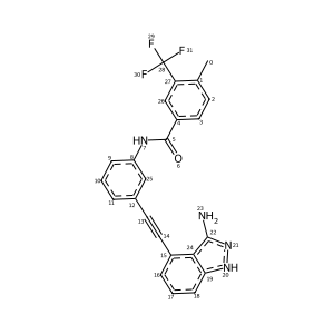 Cc1ccc(C(=O)Nc2cccc(C#Cc3cccc4[nH]nc(N)c34)c2)cc1C(F)(F)F